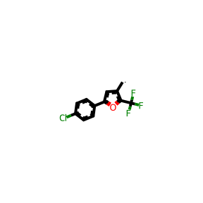 [CH2]c1cc(-c2ccc(Cl)cc2)oc1C(F)(F)F